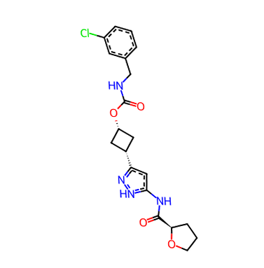 O=C(NCc1cccc(Cl)c1)O[C@H]1C[C@@H](c2cc(NC(=O)[C@H]3CCCO3)[nH]n2)C1